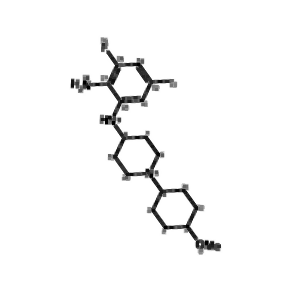 COC1CCC(N2CCC(Nc3cc(C)cc(F)c3N)CC2)CC1